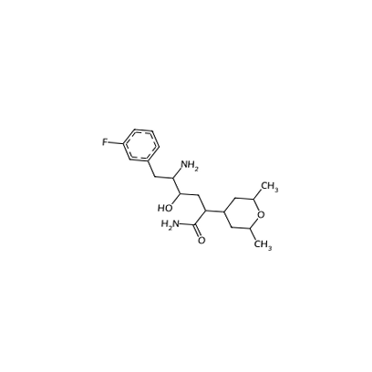 CC1CC(C(CC(O)C(N)Cc2cccc(F)c2)C(N)=O)CC(C)O1